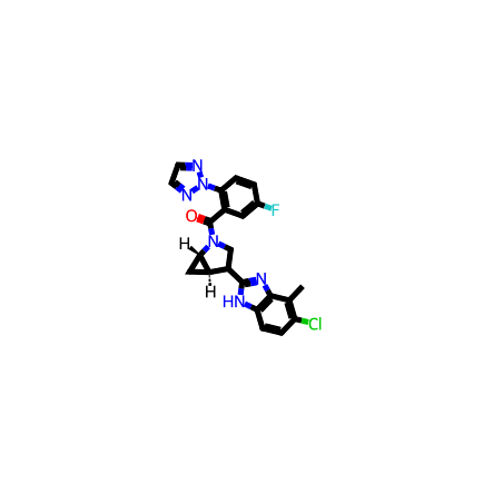 Cc1c(Cl)ccc2[nH]c(C3CN(C(=O)c4cc(F)ccc4-n4nccn4)[C@H]4C[C@H]34)nc12